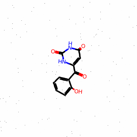 O=C(c1cc(=O)[nH]c(=O)[nH]1)c1ccccc1O